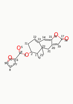 CC1C(OC(=O)c2ccco2)CC=C2C=C3OC(=O)C=C3CC21C